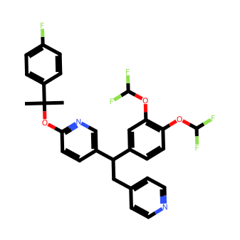 CC(C)(Oc1ccc(C(Cc2ccncc2)c2ccc(OC(F)F)c(OC(F)F)c2)cn1)c1ccc(F)cc1